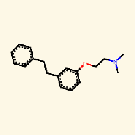 CN(C)CCOc1cccc(CCc2ccccc2)c1